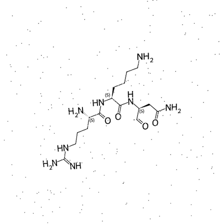 N=C(N)NCCC[C@H](N)C(=O)N[C@@H](CCCCN)C(=O)N[C@H]([C]=O)CC(N)=O